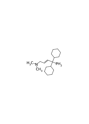 CN(C)CC=CC(P)(C1CCCCC1)C1CCCCC1